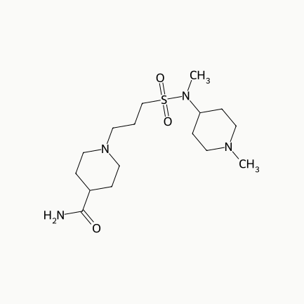 CN1CCC(N(C)S(=O)(=O)CCCN2CCC(C(N)=O)CC2)CC1